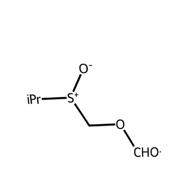 CC(C)[S+]([O-])CO[C]=O